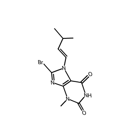 CC(C)/C=C/n1c(Br)nc2c1c(=O)[nH]c(=O)n2C